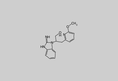 COc1cccc(CC(CO)n2c(=N)[nH]c3ccccc32)n1